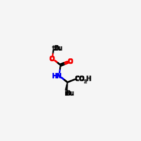 CCC(C)[C@@H](NC(=O)OC(C)(C)C)C(=O)O